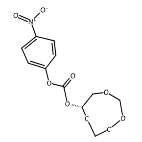 O=C(Oc1ccc([N+](=O)[O-])cc1)O[C@H]1CCCOCOC1